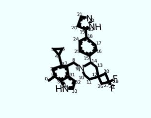 Cc1cc(C2CC2)c(CN2CCC3(C[C@@H]2c2ccc(-c4ccn[nH]4)cc2)CC(F)(F)C3)c2cc[nH]c12